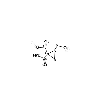 COC(=O)C1(C(=O)O)CC1CO